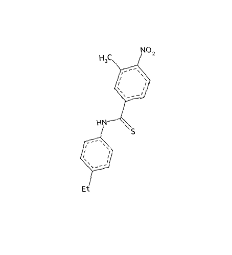 CCc1ccc(NC(=S)c2ccc([N+](=O)[O-])c(C)c2)cc1